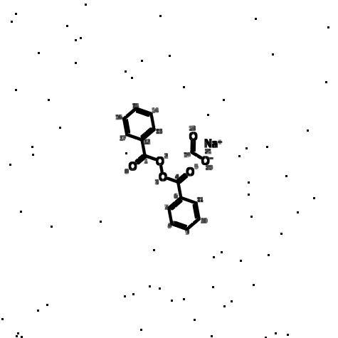 O=C(OOC(=O)c1ccccc1)c1ccccc1.O=C[O-].[Na+]